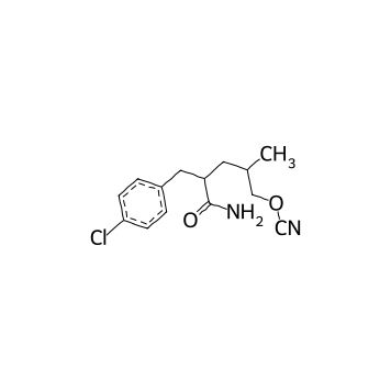 CC(COC#N)CC(Cc1ccc(Cl)cc1)C(N)=O